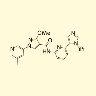 COc1nn(-c2cncc(C)c2)cc1C(=O)Nc1cccc(-c2cncn2C(C)C)n1